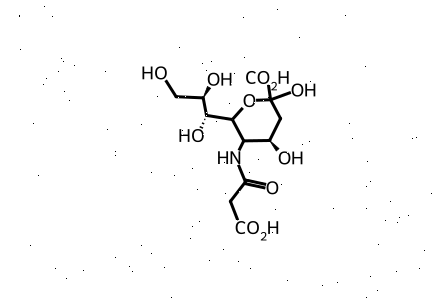 O=C(O)CC(=O)NC1C([C@H](O)[C@H](O)CO)OC(O)(C(=O)O)C[C@H]1O